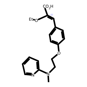 CCO/C(=C\c1ccc(OCCN(C)c2ccccn2)cc1)C(=O)O